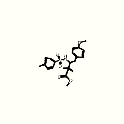 COC(=O)C(C)(C)C(Cc1ccc(OC)cc1)NS(=O)(=O)c1ccc(C)cc1